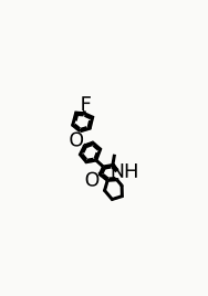 Cc1[nH]c2c(c(=O)c1-c1ccc(Oc3ccc(F)cc3)cc1)CCCC2